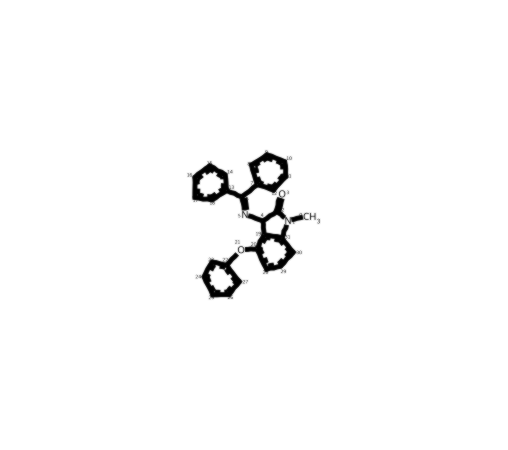 CN1C(=O)C(N=C(c2ccccc2)c2ccccc2)c2c(Oc3ccccc3)cccc21